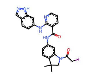 CC1(C)CN(C(=O)CI)c2cc(NC(=O)c3cccnc3Nc3ccc4cn[nH]c4c3)ccc21